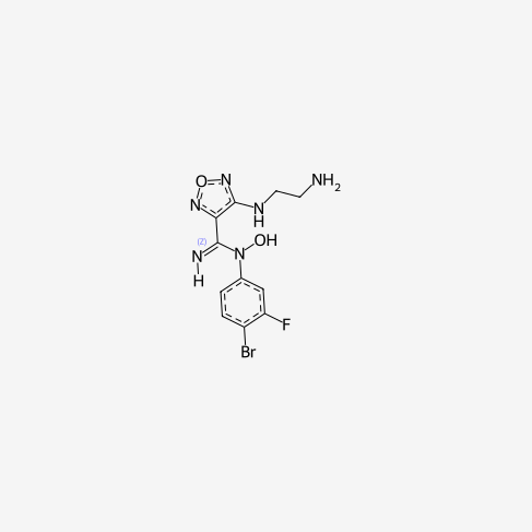 [H]/N=C(/c1nonc1NCCN)N(O)c1ccc(Br)c(F)c1